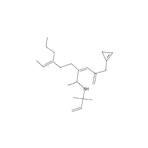 C=CC(C)(C)NC(C)/C(=C\C(=C)CC1=CC1)CC/C(=C/C)CCC